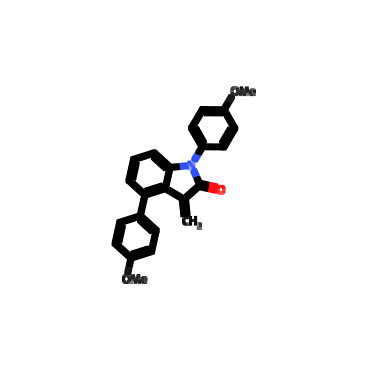 C=C1C(=O)N(c2ccc(OC)cc2)c2cccc(-c3ccc(OC)cc3)c21